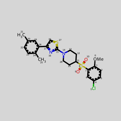 COc1ccc(Cl)cc1S(=O)(=O)C1CCN(c2nc(-c3cc(C)ccc3C)cs2)CC1